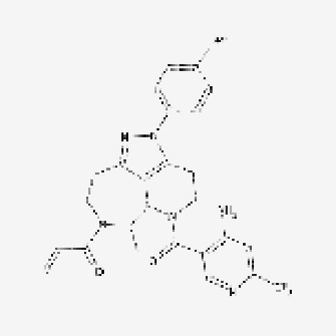 C=CC(=O)N1CCc2nn(-c3ccc(C(C)C)cc3)c3c2C(C1C)N(C(=O)c1cnc(C(F)(F)F)cc1N)CC3